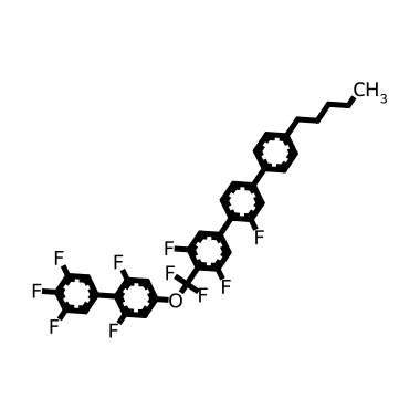 CCCCCc1ccc(-c2ccc(-c3cc(F)c(C(F)(F)Oc4cc(F)c(-c5cc(F)c(F)c(F)c5)c(F)c4)c(F)c3)c(F)c2)cc1